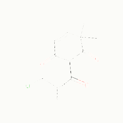 CC(CCl)C(=O)C1C(=O)C=CC(C)(C)C1=O